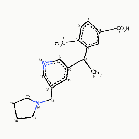 Cc1ccc(C(=O)O)cc1C(C)c1cncc(CN2CCCC2)c1